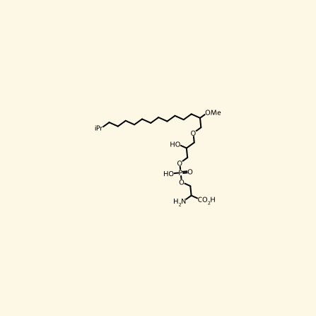 COC(CCCCCCCCCCCC(C)C)COCC(O)COP(=O)(O)OCC(N)C(=O)O